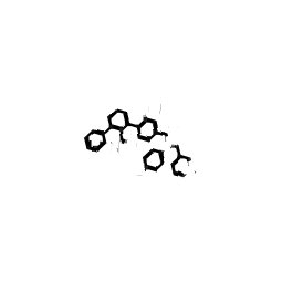 NC(=O)c1c(-c2ccccc2)cccc1-c1ccc(C(=O)N(Cc2cccnc2)c2ccc(F)cc2)cc1O